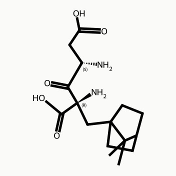 CC1(C)C2CCC1(C[C@](N)(C(=O)O)C(=O)[C@@H](N)CC(=O)O)CC2